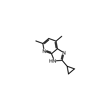 Cc1cc(C)c2nc(C3CC3)[nH]c2n1